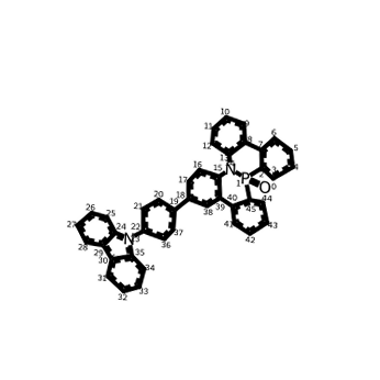 O=P12c3ccccc3-c3ccccc3N1c1ccc(-c3ccc(-n4c5ccccc5c5ccccc54)cc3)cc1-c1ccccc12